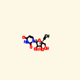 C#C[C@@]1(CO)O[C@H](n2ccc(=O)[nH]c2=O)C(O)C1O